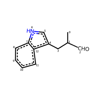 CC(C=O)Cc1c[nH]c2ccccc12